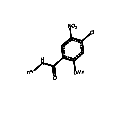 CCCNC(=O)c1cc([N+](=O)[O-])c(Cl)cc1OC